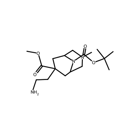 COC(=O)C1(CCN)CC2CN(C)CC(C1)N2C(=O)OC(C)(C)C